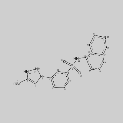 CCCCC1=CN(c2cccc(S(=O)(=O)Nc3cccc4cnccc34)c2)NN1